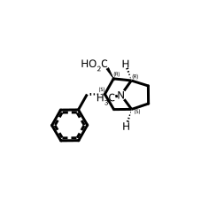 CN1[C@H]2CC[C@@H]1[C@H](C(=O)O)[C@@H](Cc1ccccc1)C2